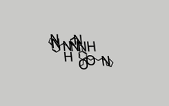 COc1ccc(Nc2nccc(NCc3cccc4ccnn34)n2)cc1OCCCN1CCCC1